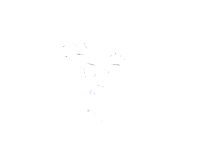 CC(C)(O)[C@H](F)CNC(=O)c1cnc(-c2cnn3cc(Cl)cnc23)cc1Nc1cnn(C2CCOCC2)c1